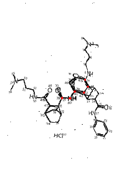 CN(C)CCCNC(=O)C1C2CCC(C(C(=O)Nc3ccccc3)C2)C1C(=O)NC(=O)C1C2CCC(CC2C(=O)Nc2ccccc2)C1C(=O)NCCCN(C)C.Cl